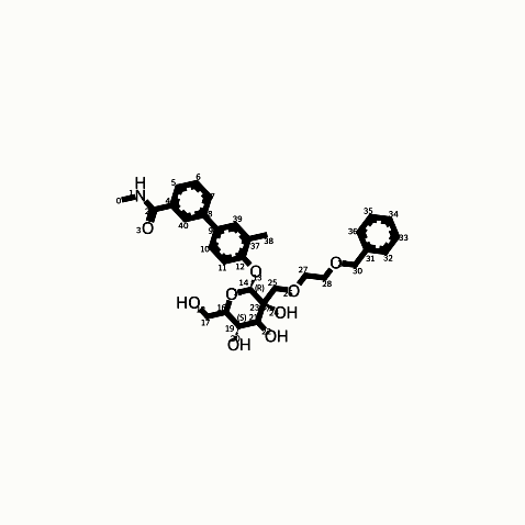 CNC(=O)c1cccc(-c2ccc(O[C@H]3OC(CO)[C@@H](O)C(O)[C@@]3(O)COCCOCc3ccccc3)c(C)c2)c1